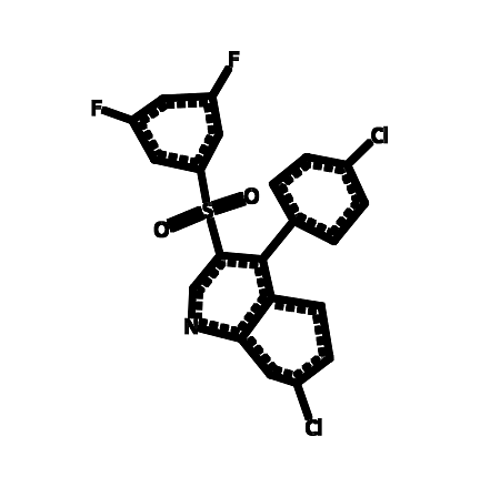 O=S(=O)(c1cc(F)cc(F)c1)c1cnc2cc(Cl)ccc2c1-c1ccc(Cl)cc1